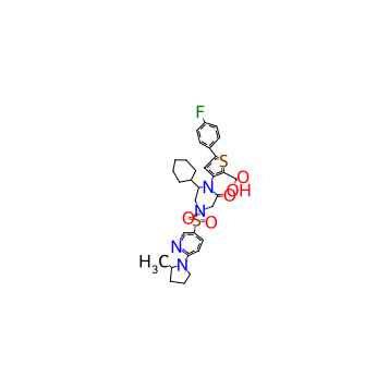 CC1CCCN1c1ccc(S(=O)(=O)N2CC(=O)N(c3cc(-c4ccc(F)cc4)sc3C(=O)O)C(C3CCCCC3)C2)cn1